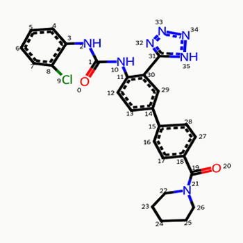 O=C(Nc1ccccc1Cl)Nc1ccc(-c2ccc(C(=O)N3CCCCC3)cc2)cc1-c1nnn[nH]1